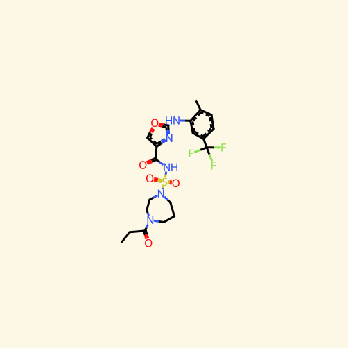 CCC(=O)N1CCCN(S(=O)(=O)NC(=O)c2coc(Nc3cc(C(F)(F)F)ccc3C)n2)CC1